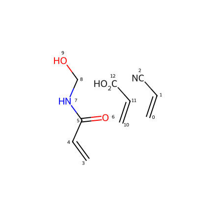 C=CC#N.C=CC(=O)NCO.C=CC(=O)O